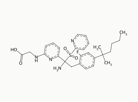 CCCCC(C)(C)c1ccc(CC(N)(c2cccc(NCC(=O)O)n2)S(=O)(=O)c2ccccn2)c(F)c1